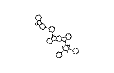 c1ccc(-c2nc(-c3ccccc3)nc(-n3c4ccccc4c4cc5c(cc43)c3ccccc3n5-c3cccc(-c4ccc5oc6ccccc6c5c4)c3)n2)cc1